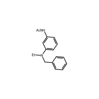 CCN(Cc1ccccc1)c1cccc(NC(C)=O)c1